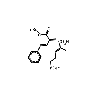 C=C(C=Cc1ccccc1)C(=O)OCCCC.CCCCCCCCCCCCC=C(C)C(=O)O